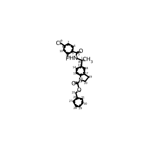 C[C@@H](NC(=O)c1ccc(Cl)cc1F)c1ccc2c(c1)CCN2C(=O)OCc1ccccc1